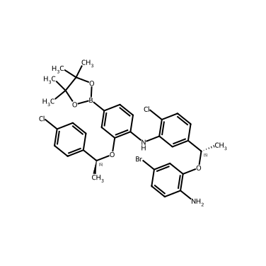 C[C@H](Oc1cc(Br)ccc1N)c1ccc(Cl)c(Nc2ccc(B3OC(C)(C)C(C)(C)O3)cc2O[C@@H](C)c2ccc(Cl)cc2)c1